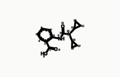 O=C(O)c1ccccc1NC(=O)N(C1CC1)C1CC1